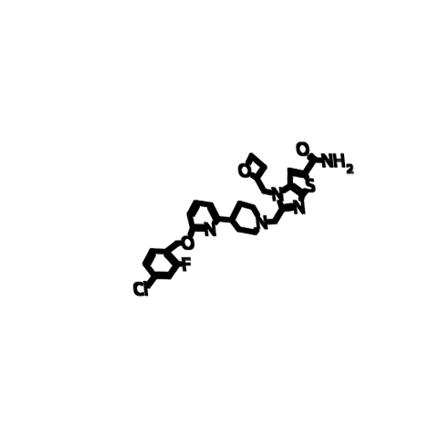 NC(=O)c1cc2c(nc(CN3CCC(c4cccc(OCc5ccc(Cl)cc5F)n4)CC3)n2CC2CCO2)s1